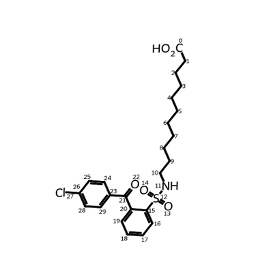 O=C(O)CCCCCCCCCCNS(=O)(=O)c1ccccc1C(=O)c1ccc(Cl)cc1